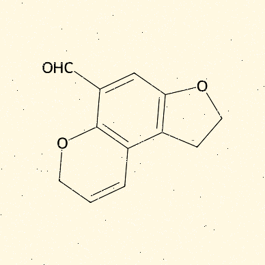 O=Cc1cc2c(c3c1OCC=C3)CCO2